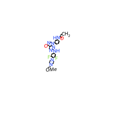 C=CC(=O)Nc1cccc(-n2cnc(=O)c3cnc(Nc4cc(F)c(N5CCN(CCOC)CC5)c(F)c4)nc32)c1